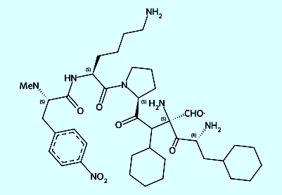 CN[C@@H](Cc1ccc([N+](=O)[O-])cc1)C(=O)N[C@@H](CCCCN)C(=O)N1CCC[C@H]1C(=O)C(C1CCCCC1)[C@](N)([C]=O)C(=O)[C@H](N)CC1CCCCC1